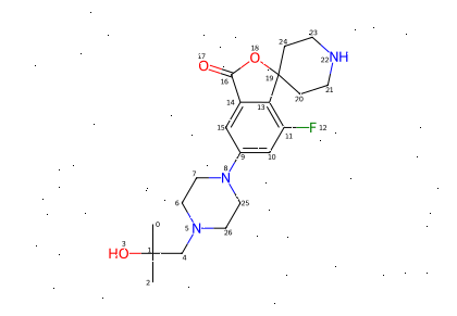 CC(C)(O)CN1CCN(c2cc(F)c3c(c2)C(=O)OC32CCNCC2)CC1